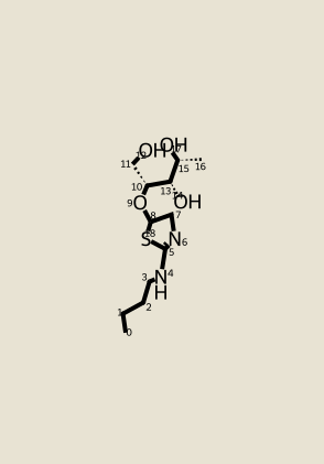 CCCCNC1=NCC(O[C@H](CO)[C@@H](O)[C@@H](C)O)S1